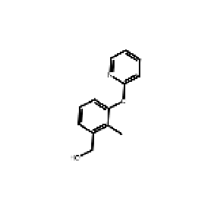 Cc1c(CO)cccc1Oc1ccccn1